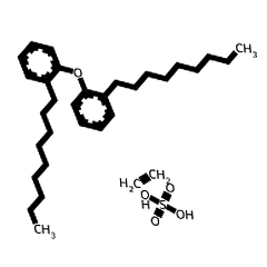 C=C.CCCCCCCCCc1ccccc1Oc1ccccc1CCCCCCCCC.O=S(=O)(O)O